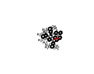 Cc1cc2c3c(c1)N(c1ccc4c(c1)C(C)(C)CCC4(C)C)c1c(oc4cc5c(cc14)C(C)(C)CCC5(C)C)B3c1cc3c(cc1N2c1cc2c(cc1-c1ccccc1)C(C)(C)CCC2(C)C)-c1ccccc1[Si]3(c1ccccc1)c1ccccc1